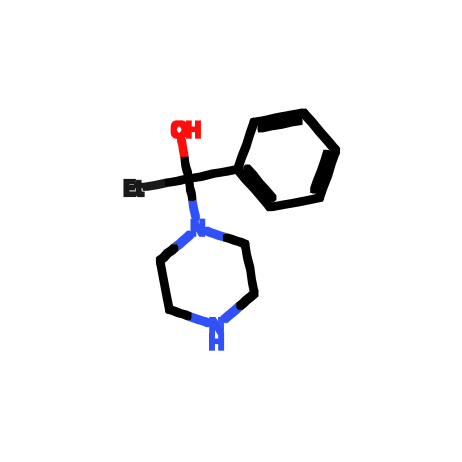 CCC(O)(c1ccccc1)N1CCNCC1